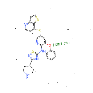 Cl.Cl.Cl.c1ccc(Oc2cc(Sc3ccnc4ccsc34)cnc2Nc2nc(C3CCNCC3)ns2)cc1